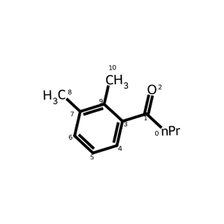 CCCC(=O)c1cccc(C)c1C